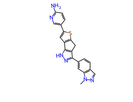 Cn1ncc2ccc(-c3n[nH]c4c3Cc3sc(-c5ccc(N)nc5)cc3-4)cc21